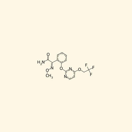 CON=C(C(N)=O)c1ccccc1Oc1nccc(OCC(F)(F)F)n1